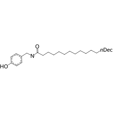 CCCCCCCCCCCCCCCCCCCCCC(=O)[N]Cc1ccc(O)cc1